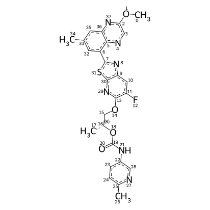 COc1cnc2c(-c3nc4cc(F)c(OC[C@@H](C)OC(=O)Nc5ccc(C)nc5)nc4s3)cc(C)cc2n1